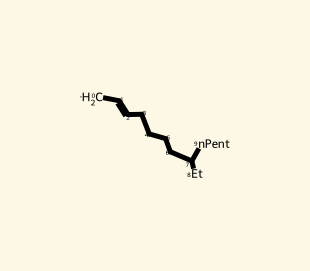 [CH2]C=CCCCCC(CC)CCCC[CH2]